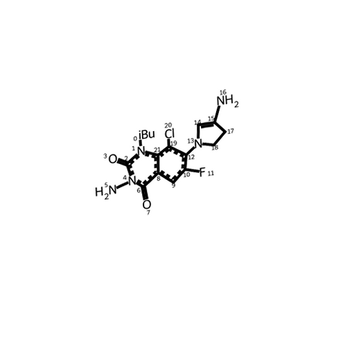 CCC(C)n1c(=O)n(N)c(=O)c2cc(F)c(N3C=C(N)CC3)c(Cl)c21